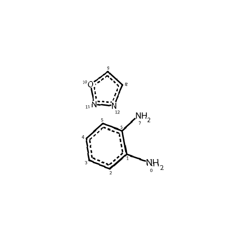 Nc1ccccc1N.c1conn1